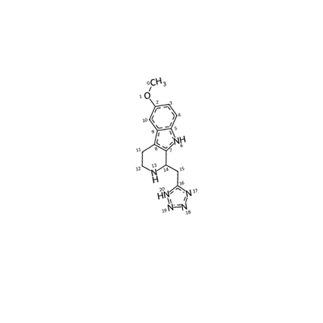 COc1ccc2[nH]c3c(c2c1)CCNC3Cc1nnn[nH]1